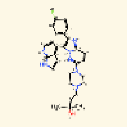 CC(C)(O)CCN1CCN(c2ccc3nc(-c4ccc(F)cc4)c(-c4ccnc5[nH]ccc45)n3n2)CC1